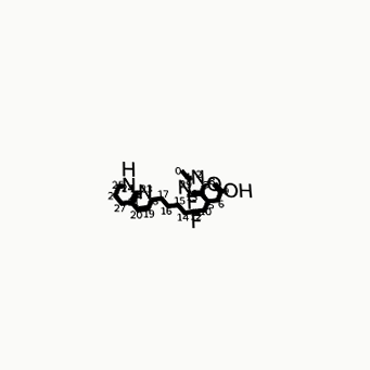 Cc1ncc(C(CC(=O)O)CC(F)(F)CCCCc2ccc3c(n2)NCCC3)cn1